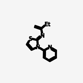 C=C(CC)/N=c1\sccn1-c1ccccn1